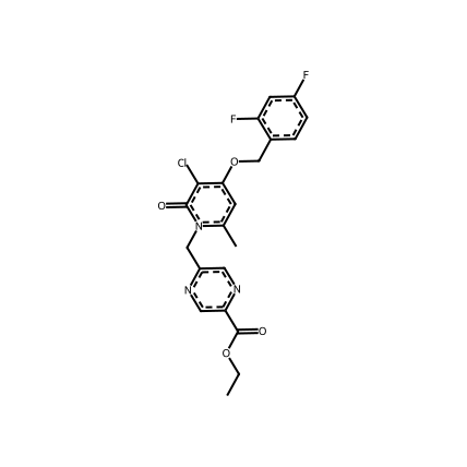 CCOC(=O)c1cnc(Cn2c(C)cc(OCc3ccc(F)cc3F)c(Cl)c2=O)cn1